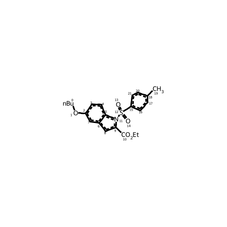 CCCCOc1ccc2c(c1)cc(C(=O)OCC)n2S(=O)(=O)c1ccc(C)cc1